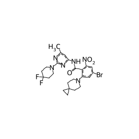 Cc1cc(NC(=O)c2c(N3CCC4(CC3)CC4)cc(Br)cc2[N+](=O)[O-])nc(N2CCC(F)(F)CC2)n1